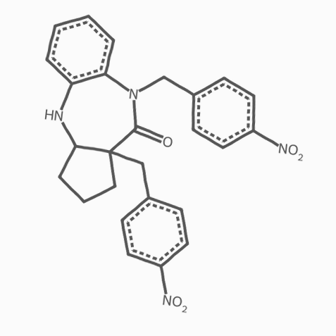 O=C1N(Cc2ccc([N+](=O)[O-])cc2)c2ccccc2NC2CCCC12Cc1ccc([N+](=O)[O-])cc1